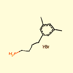 Br.Cc1cc(C)cc(CCCCP)c1